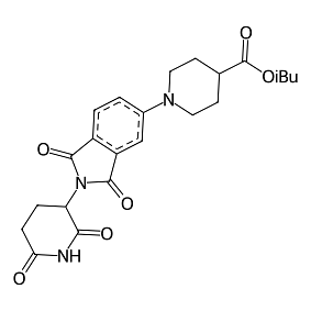 CC(C)COC(=O)C1CCN(c2ccc3c(c2)C(=O)N(C2CCC(=O)NC2=O)C3=O)CC1